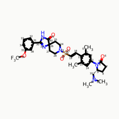 Cc1cc(N2C(=O)CC[C@@H]2CN(C)C)cc(C)c1C=CS(=O)(=O)N1CCC2(CC1)N=C(c1cccc(OC(F)(F)F)c1)NC2=O